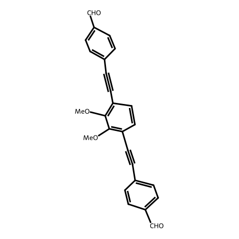 COc1c(C#Cc2ccc(C=O)cc2)ccc(C#Cc2ccc(C=O)cc2)c1OC